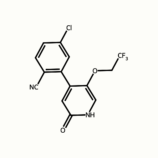 N#Cc1ccc(Cl)cc1-c1cc(=O)[nH]cc1OCC(F)(F)F